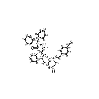 COC(=O)N(C(=O)[C@@H](N)C(c1ccccc1)c1ccccc1)c1cnccc1CC[C@@H]1CNC[C@@H](COc2ccc(C#N)cc2)O1